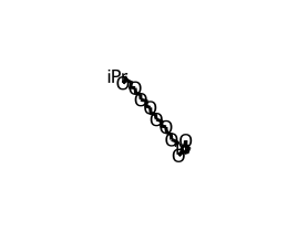 CC(C)C(=O)CCOCCOCCOCCOCCOCCOCCN1C(=O)C=CC1=O